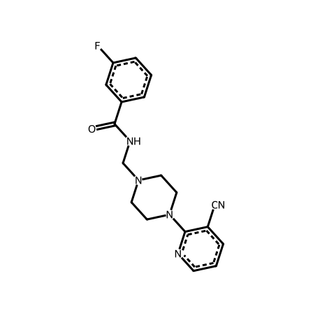 N#Cc1cccnc1N1CCN(CNC(=O)c2cccc(F)c2)CC1